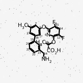 Cc1cc(Oc2nc(O[C@H](C)C(=O)O)c(F)cc2F)cc(-c2cccc(CN)c2)c1